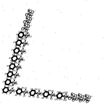 C[N+](C)(C)c1ccccc1.C[N+](C)(C)c1ccccc1.C[N+](C)(C)c1ccccc1.C[N+](C)(C)c1ccccc1.C[N+](C)(C)c1ccccc1.C[N+](C)(C)c1ccccc1.C[N+](C)(C)c1ccccc1.C[N+](C)(C)c1ccccc1.C[N+](C)(C)c1ccccc1.C[N+](C)(C)c1ccccc1.C[N+](C)(C)c1ccccc1.C[N+](C)(C)c1ccccc1.O=P([O-])([O-])F.O=P([O-])([O-])F.O=P([O-])([O-])F.O=P([O-])([O-])F.O=P([O-])([O-])F.O=P([O-])([O-])F